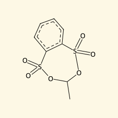 CC1OS(=O)(=O)c2ccccc2S(=O)(=O)O1